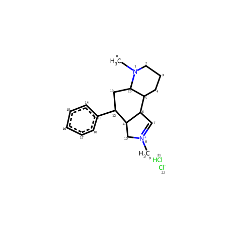 CN1CCCC2C3C=[N+](C)CC3C(c3ccccc3)CC21.Cl.[Cl-]